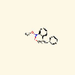 CON(OC)c1ccccc1/C=C\c1ccccc1